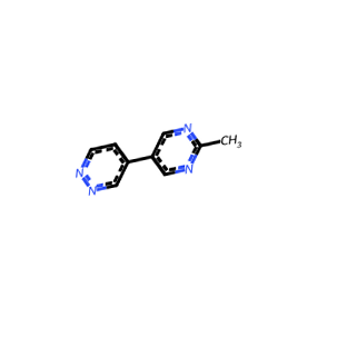 Cc1ncc(-c2ccnnc2)cn1